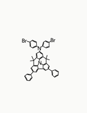 CC1(C)c2cc(N(c3ccc(Br)cc3)c3ccc(Br)cc3)cc3c2-n2c4c1cc(-c1ccccc1)cc4c1cc(-c4ccccc4)cc(c12)C3(C)C